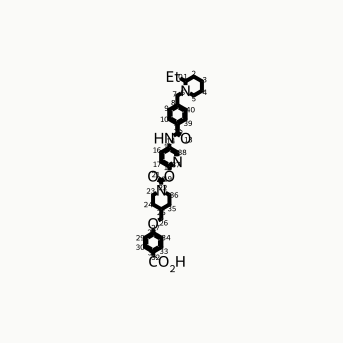 CCC1CCCCN1Cc1ccc(C(=O)Nc2ccc(OC(=O)N3CCC(COc4ccc(C(=O)O)cc4)CC3)nc2)cc1